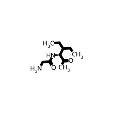 CCC(CC)[C@H](NC(=O)CN)C(C)=O